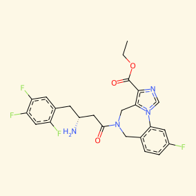 CCOC(=O)c1ncn2c1CN(C(=O)C[C@H](N)Cc1cc(F)c(F)cc1F)Cc1ccc(F)cc1-2